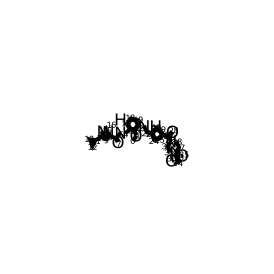 COc1c(CNC(=O)c2cc(C3CC3)nn2C)cccc1NCc1ccc(C(=O)N2CCN(S(C)(=O)=O)CC2)cc1